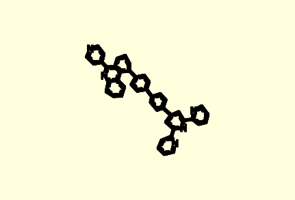 c1ccc(-c2cc(-c3ccc(-c4ccc(-c5cccc6c(-c7ccncc7)nc7ccccc7c56)cc4)cc3)cc(-c3ccccn3)n2)nc1